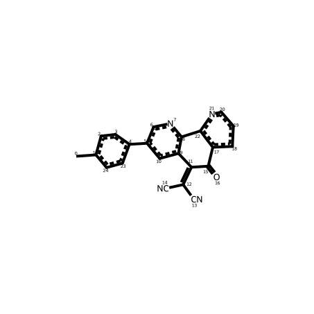 Cc1ccc(-c2cnc3c(c2)C(=C(C#N)C#N)C(=O)c2cccnc2-3)cc1